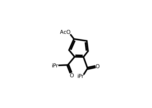 CC(=O)Oc1ccc(C(=O)C(C)C)c(C(=O)C(C)C)c1